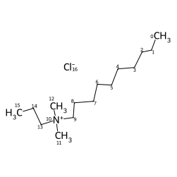 CCCCCCCCCC[N+](C)(C)CCC.[Cl-]